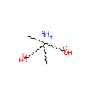 CCCCCCCCC(CCCCCCCCC(=O)O)C(CCCCCCCC)CCCCCCCCC(=O)O.N.N